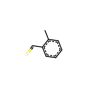 Cc1ccccc1[C]=S